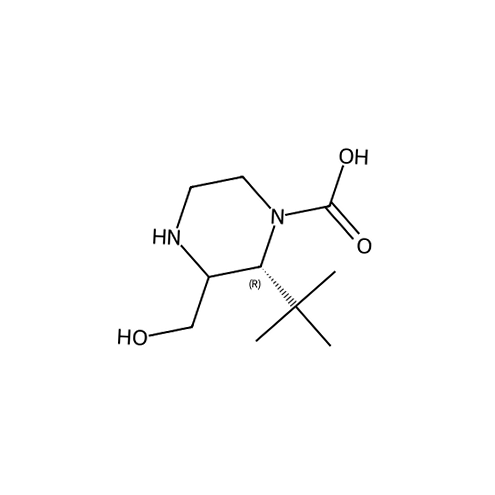 CC(C)(C)[C@@H]1C(CO)NCCN1C(=O)O